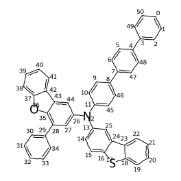 c1ccc(-c2ccc(-c3ccc(N(c4ccc5sc6ccccc6c5c4)c4cc(-c5ccccc5)c5oc6ccccc6c5c4)cc3)cc2)cc1